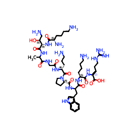 CC(NC(=O)[C@@H](NC(=O)[C@@H](N)CCCCN)[C@@H](O)CN)C(=O)NCC(=O)N[C@H](CCCN)C(=O)N1CCC[C@H]1C(=O)NC(Cc1c[nH]c2ccccc12)C(=O)N[C@@H](CCCCN)C(=O)N/C(=C\CCNC(=N)N)C(=O)O